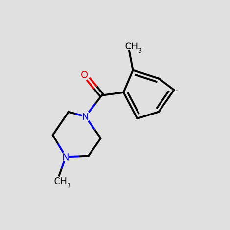 Cc1c[c]ccc1C(=O)N1CCN(C)CC1